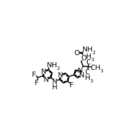 CC(C)(C)C(COC(N)=O)n1cc(-c2cnc(Nc3cc(N)nc(C(F)F)n3)cc2F)cn1